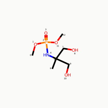 COP(=O)(NC(C)(CO)CO)OC